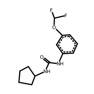 O=C(Nc1cccc(OC(F)F)c1)NC1CCCC1